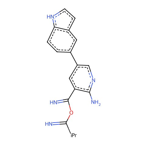 CC(C)C(=N)OC(=N)c1cc(-c2ccc3[nH]ccc3c2)cnc1N